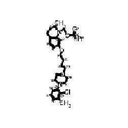 C=C1CCc2ccc(OCCCCN3CCN(c4cccc(C)c4Cl)CC3)cc2N1COC(=O)CCC